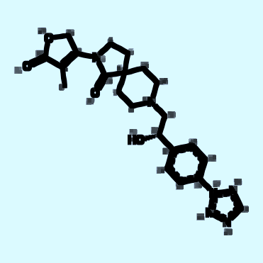 CC1=C(N2CCC3(CCN(C[C@@H](O)c4ccc(-n5ncnn5)cc4)CC3)C2=O)COC1=O